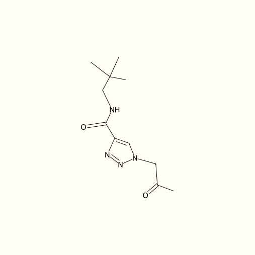 CC(=O)Cn1cc(C(=O)NCC(C)(C)C)nn1